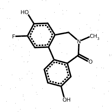 CN1Cc2cc(O)c(F)cc2-c2ccc(O)cc2C1=O